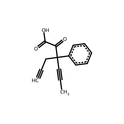 C#CCC(C#CC)(C(=O)C(=O)O)c1ccccc1